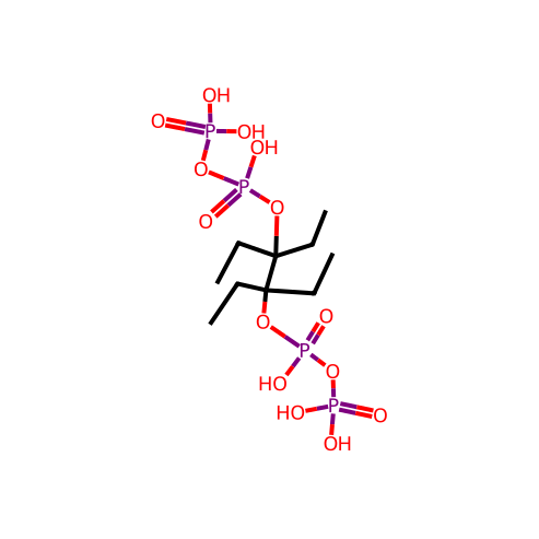 CCC(CC)(OP(=O)(O)OP(=O)(O)O)C(CC)(CC)OP(=O)(O)OP(=O)(O)O